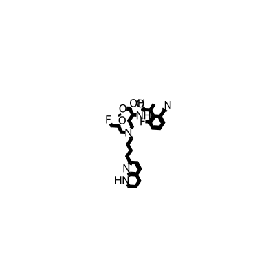 COC(CF)CN(CCCCc1ccc2c(n1)NCCC2)CCC(NC(=O)C(C)c1c(F)cccc1C#N)C(=O)O